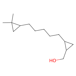 CC1(C)CC1CCCCCC1CC1CO